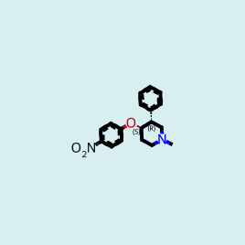 CN1CC[C@H](Oc2ccc([N+](=O)[O-])cc2)[C@H](c2ccccc2)C1